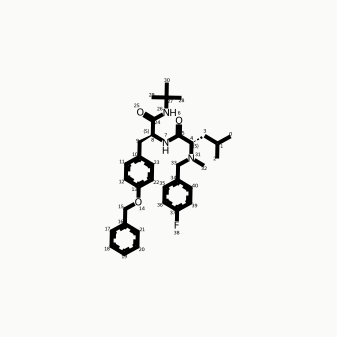 CC(C)C[C@@H](C(=O)N[C@@H](Cc1ccc(OCc2ccccc2)cc1)C(=O)NC(C)(C)C)N(C)Cc1ccc(F)cc1